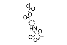 COC(=O)COC(=O)c1ccc(NC=C2C(=O)OC=C(C)C2=O)cc1